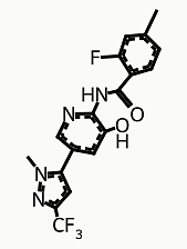 Cc1ccc(C(=O)Nc2ncc(-c3cc(C(F)(F)F)nn3C)cc2O)c(F)c1